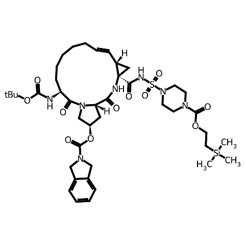 CC(C)(C)OC(=O)N[C@H]1CCCCC/C=C/[C@@H]2C[C@@]2(C(=O)NS(=O)(=O)N2CCN(C(=O)OCC[Si](C)(C)C)CC2)NC(=O)[C@@H]2C[C@@H](OC(=O)N3Cc4ccccc4C3)CN2C1=O